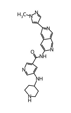 Cn1cc(-c2cc3cc(NC(=O)c4cncc(NC5CCNCC5)c4)ncc3cn2)cn1